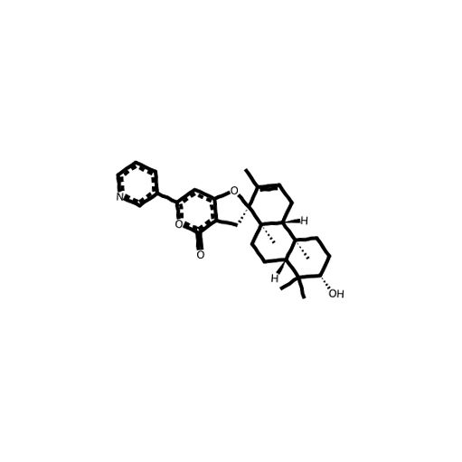 CC1=CC[C@@H]2[C@@]3(C)CC[C@H](O)C(C)(C)[C@@H]3CC[C@@]2(C)[C@]12Cc1c(cc(-c3cccnc3)oc1=O)O2